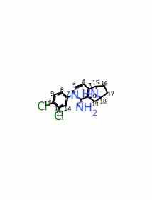 NC1C2=C(C=CN1c1ccc(Cl)c(Cl)c1)C1CCC(C2)N1